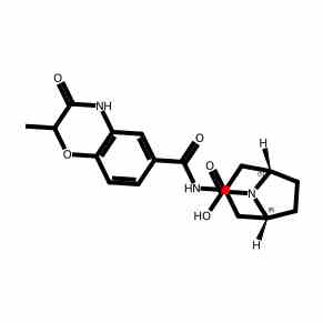 CC1Oc2ccc(C(=O)NC3C[C@H]4CC[C@@H](C3)N4C(=O)O)cc2NC1=O